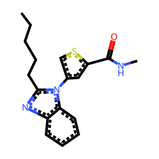 CCCCCc1nc2ccccc2n1-c1csc(C(=O)NC)c1